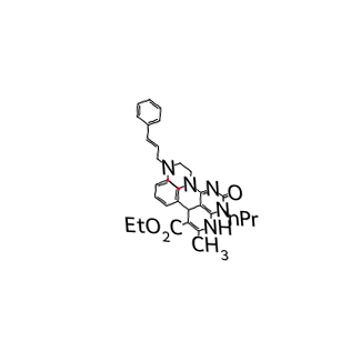 CCCn1c2c(c(N3CCN(C/C=C/c4ccccc4)CC3)nc1=O)C(c1ccccc1)C(C(=O)OCC)=C(C)N2